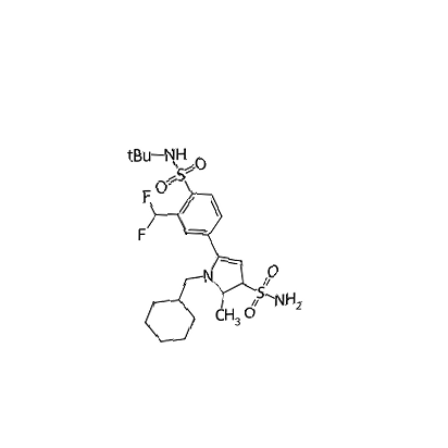 CC1C(S(N)(=O)=O)C=C(c2ccc(S(=O)(=O)NC(C)(C)C)c(C(F)F)c2)N1CC1CCCCC1